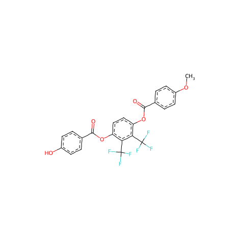 COc1ccc(C(=O)Oc2ccc(OC(=O)c3ccc(O)cc3)c(C(F)(F)F)c2C(F)(F)F)cc1